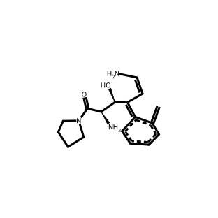 C=c1cccc/c1=C(/C=C\N)[C@H](O)[C@@H](N)C(=O)N1CCCC1